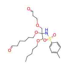 CCCCCOCC(COCCC=O)(NS(=O)(=O)c1ccc(C)cc1)OCCCCCC=O